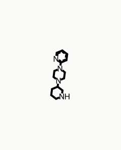 c1ccc(N2CCN(C3CCCNC3)CC2)nc1